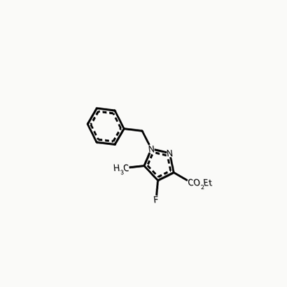 CCOC(=O)c1nn(Cc2ccccc2)c(C)c1F